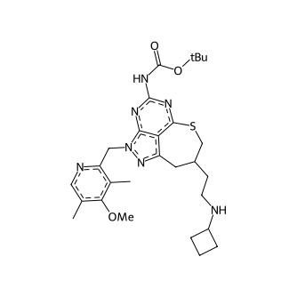 COc1c(C)cnc(Cn2nc3c4c(nc(NC(=O)OC(C)(C)C)nc42)SCC(CCNC2CCC2)C3)c1C